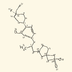 CC(Cc1ccc(C2CCC(F)(F)CC2)c(Cl)c1)CN1CCC2(C1)CS(=O)(=O)C2